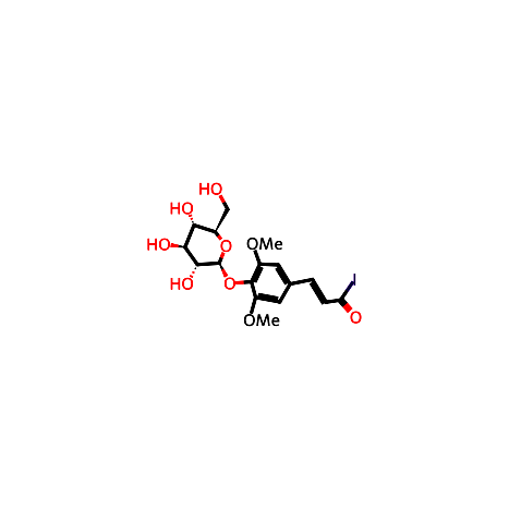 COc1cc(C=CC(=O)I)cc(OC)c1O[C@@H]1O[C@H](CO)[C@@H](O)[C@H](O)[C@H]1O